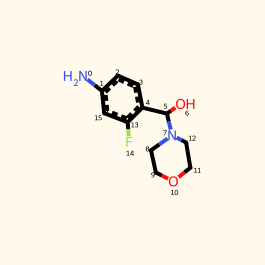 Nc1ccc(C(O)N2CCOCC2)c(F)c1